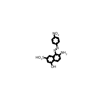 Nc1ccc2c(O)cc(S(=O)(=O)O)cc2c1N=Nc1ccc([N+](=O)[O-])cc1